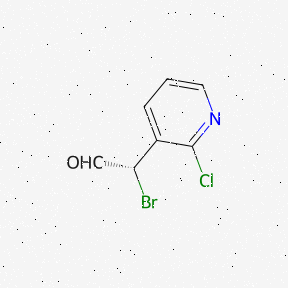 O=C[C@@H](Br)c1cccnc1Cl